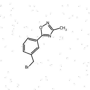 Cc1noc(-c2cccc(CBr)c2)n1